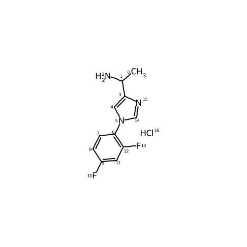 CC(N)c1cn(-c2ccc(F)cc2F)cn1.Cl